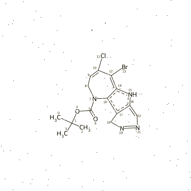 CC(C)(C)OC(=O)N1CC=C(Cl)C(Br)=c2[nH]c3c(c21)CN=NC=3